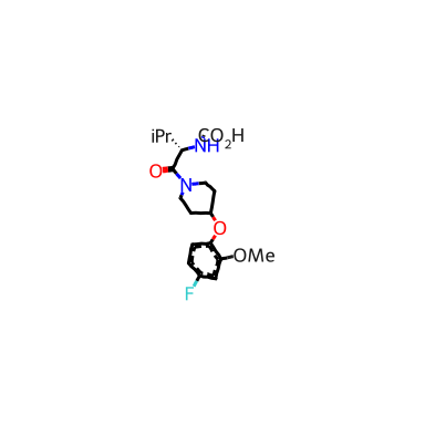 COc1cc(F)ccc1OC1CCN(C(=O)[C@@H](NC(=O)O)C(C)C)CC1